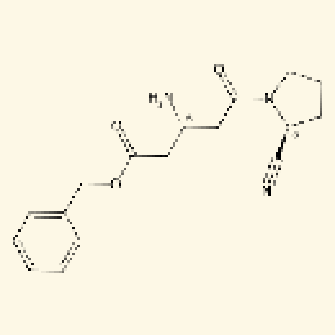 N#C[C@@H]1CCCN1C(=O)C[C@@H](N)CC(=O)OCc1ccccc1